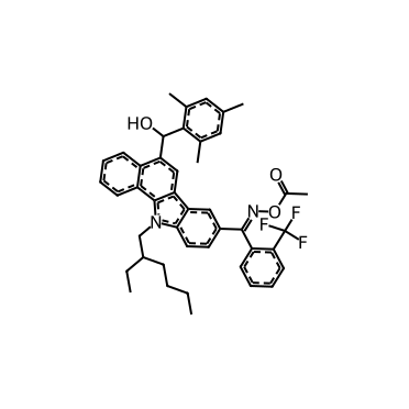 CCCCC(CC)Cn1c2ccc(/C(=N/OC(C)=O)c3ccccc3C(F)(F)F)cc2c2cc(C(O)c3c(C)cc(C)cc3C)c3ccccc3c21